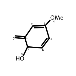 C=C1C=C(OC)C=CC1O